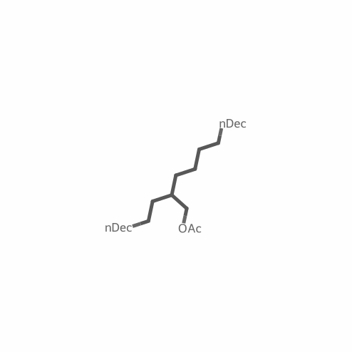 CCCCCCCCCCCCCCC(CCCCCCCCCCCC)COC(C)=O